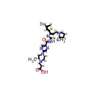 C[C@@H]1CN(c2cnc(C(=O)Nc3nc(-c4cc(Br)cs4)c(CN4CCC[C@H]4C)s3)cn2)CCN1CCC(=O)O